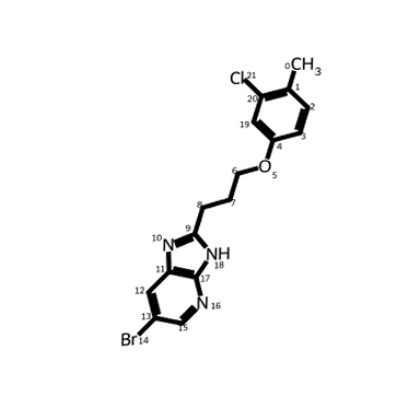 Cc1ccc(OCCCc2nc3cc(Br)cnc3[nH]2)cc1Cl